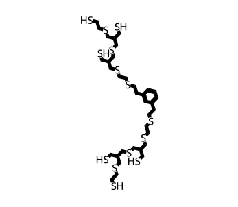 SCCSCC(CS)CSCC(CS)CSCCSCCc1cccc(CCSCCSCC(CS)CSCC(CS)CSCCS)c1